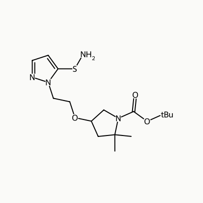 CC(C)(C)OC(=O)N1CC(OCCn2nccc2SN)CC1(C)C